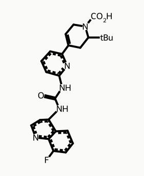 CC(C)(C)C1CC(c2cccc(NC(=O)Nc3ccnc4c(F)cccc34)n2)=CCN1C(=O)O